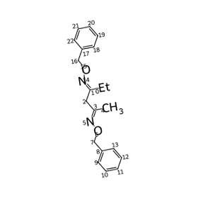 CC/C(C/C(C)=N/OCc1ccccc1)=N\OCc1ccccc1